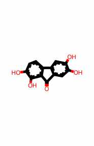 O=C1c2cc(O)c(O)cc2-c2ccc(O)c(O)c21